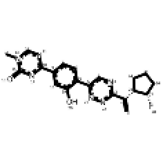 C=C(c1ncc(-c2ccc(-c3ncn(C)c(=O)n3)cc2O)nn1)[C@@H]1CCC[C@@H]1F